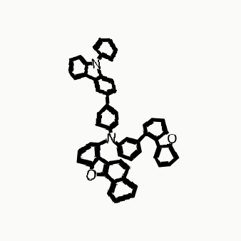 c1ccc(-n2c3ccccc3c3cc(-c4ccc(N(c5cccc(-c6cccc7oc8ccccc8c67)c5)c5cccc6oc7c8ccccc8ccc7c56)cc4)ccc32)cc1